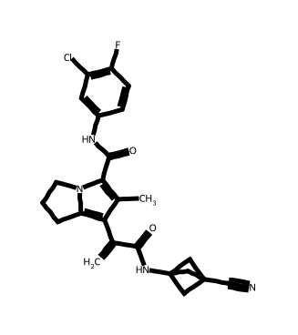 C=C(C(=O)NC12CC(C#N)(C1)C2)c1c(C)c(C(=O)Nc2ccc(F)c(Cl)c2)n2c1CCC2